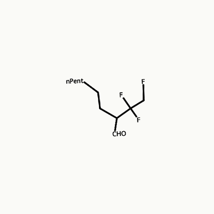 CCCCCCCC(C=O)C(F)(F)CF